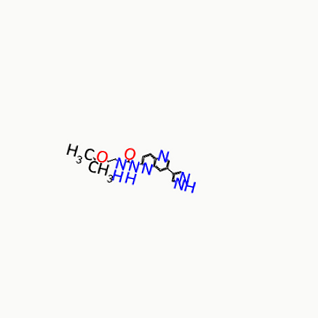 CC(C)OCCNC(=O)Nc1ccc2ncc(-c3cn[nH]c3)cc2n1